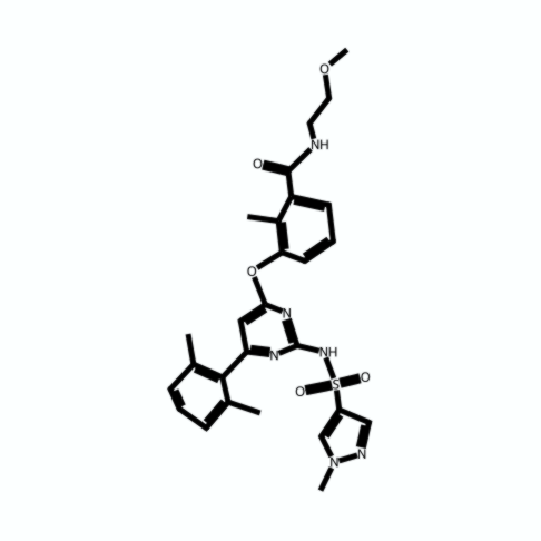 COCCNC(=O)c1cccc(Oc2cc(-c3c(C)cccc3C)nc(NS(=O)(=O)c3cnn(C)c3)n2)c1C